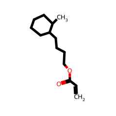 C=CC(=O)OCCCCC1CCCCC1C